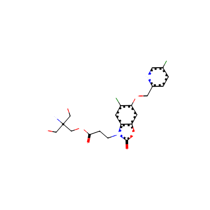 NC(CO)(CO)COC(=O)CCn1c(=O)oc2cc(OCc3ccc(F)cn3)c(Cl)cc21